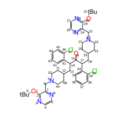 CC(C)(C)Oc1nccnc1CN1CCC(CC(C(=O)C(CC2CCN(Cc3nccnc3OC(C)(C)C)CC2)c2ccccc2Cl)c2ccccc2Cl)CC1